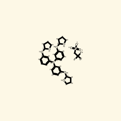 O=S(=O)([O-])CC(F)(F)F.c1cc(OC2CCCO2)cc([S+](c2cccc(OC3CCCO3)c2)c2cccc(OC3CCCO3)c2)c1